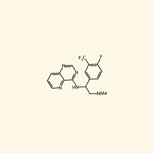 CNCC(Nc1ncnc2cccnc12)c1ccc(F)c(C(F)(F)F)c1